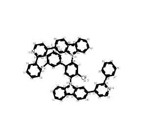 Fc1cc(F)cc(-c2cc(-n3c4ccccc4c4ccc(-c5ccnc(-c6ccccc6)c5)cc43)c(C(F)(F)F)cc2-n2c3ccccc3c3ccc(-c4ccnc(-c5ccccc5)c4)cc32)c1